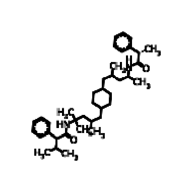 CC(CC1CCC(CC(C)CC(C)(C)NC(=O)[C@H](c2ccccc2)C(C)C)CC1)CC(C)NC(=O)[C@@H](C)c1ccccc1